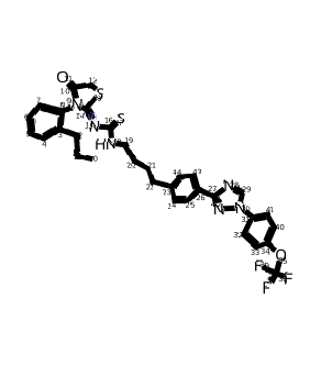 CCCc1ccccc1N1C(=O)CS/C1=N\C(=S)NCCCCc1ccc(-c2ncn(-c3ccc(OC(F)(F)F)cc3)n2)cc1